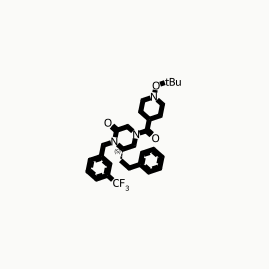 CC(C)(C)ON1CCC(C(=O)N2CC(=O)N(Cc3cccc(C(F)(F)F)c3)[C@@H](CCc3ccccc3)C2)CC1